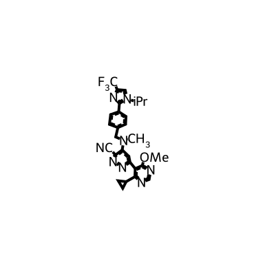 COc1ncnc(C2CC2)c1-c1cc(N(C)Cc2ccc(-c3nc(C(F)(F)F)cn3C(C)C)cc2)c(C#N)nn1